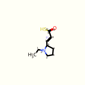 CCN1CCCC1/C=C/C(=O)S